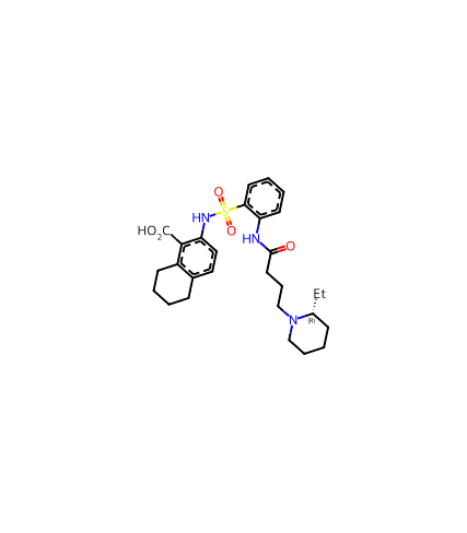 CC[C@@H]1CCCCN1CCCC(=O)Nc1ccccc1S(=O)(=O)Nc1ccc2c(c1C(=O)O)CCCC2